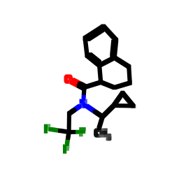 CC(C1CC1)N(CC(F)(F)F)C(=O)C1CCCc2ccccc21